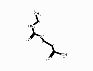 CCNC(=O)SCCC(=O)O